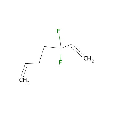 C=CCCC(F)(F)C=C